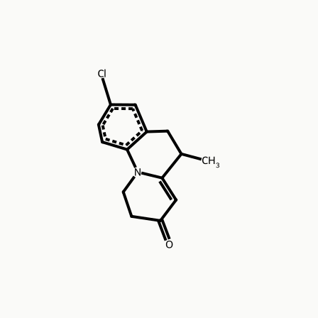 CC1Cc2cc(Cl)ccc2N2CCC(=O)C=C12